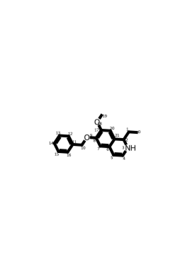 CCC1NC=Cc2cc(OCc3ccccc3)c(OC)cc21